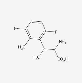 Cc1c(F)ccc(F)c1C(C)C(N)C(=O)O